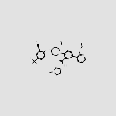 CCOc1ncccc1-c1ccc(N2CC[C@H](Oc3ccc(C(F)(F)F)cc3C#N)C[C@@H]2CC)c(C(=O)N[C@@H]2CCN(C)C2)n1